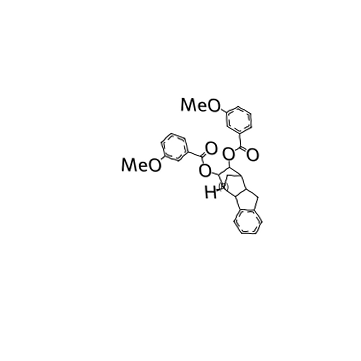 COc1cccc(C(=O)OC2C3C[C@@H](C2OC(=O)c2cccc(OC)c2)C2c4ccccc4CC32)c1